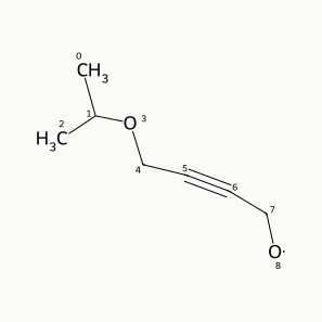 CC(C)OCC#CC[O]